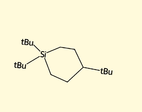 CC(C)(C)C1CC[Si](C(C)(C)C)(C(C)(C)C)CC1